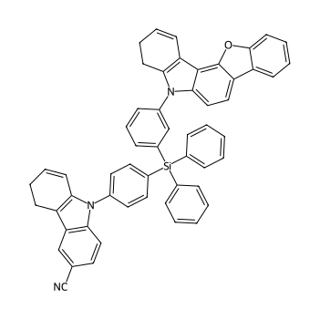 N#Cc1ccc2c(c1)c1c(n2-c2ccc([Si](c3ccccc3)(c3ccccc3)c3cccc(-n4c5c(c6c7oc8ccccc8c7ccc64)C=CCC5)c3)cc2)C=CCC1